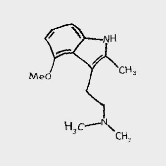 COc1cccc2[nH]c(C)c(CCN(C)C)c12